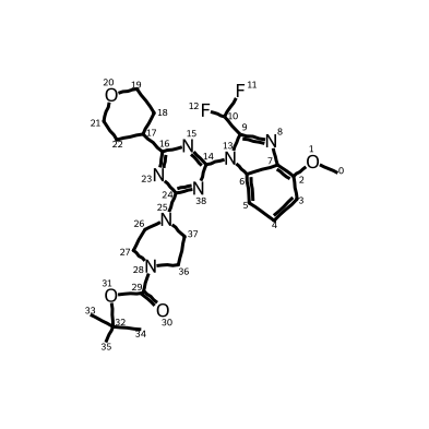 COc1cccc2c1nc(C(F)F)n2-c1nc(C2CCOCC2)nc(N2CCN(C(=O)OC(C)(C)C)CC2)n1